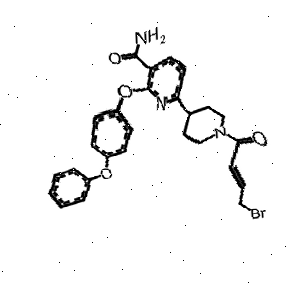 NC(=O)c1ccc(C2CCN(C(=O)C=CCBr)CC2)nc1Oc1ccc(Oc2ccccc2)cc1